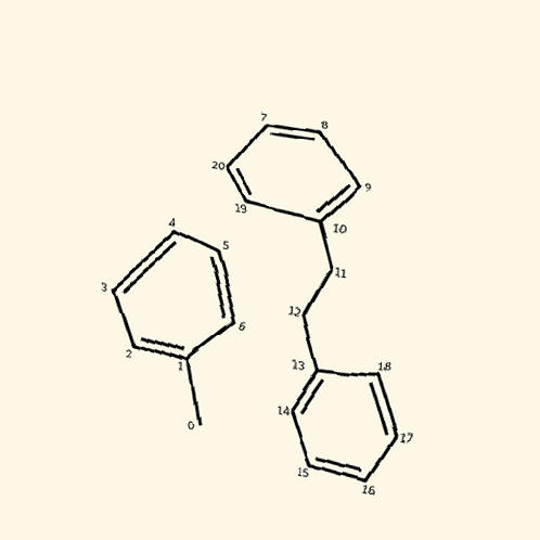 Cc1ccccc1.c1ccc(CCc2ccccc2)cc1